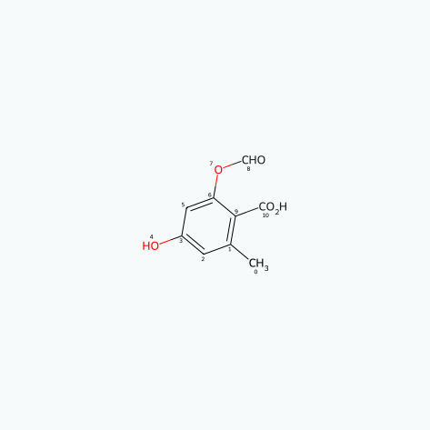 Cc1cc(O)cc(OC=O)c1C(=O)O